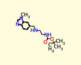 Cn1cnc2ccc(CNCCNC(=O)OC(C)(C)C)cc21